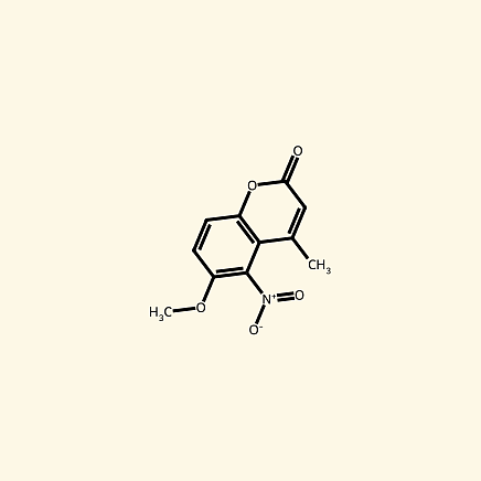 COc1ccc2oc(=O)cc(C)c2c1[N+](=O)[O-]